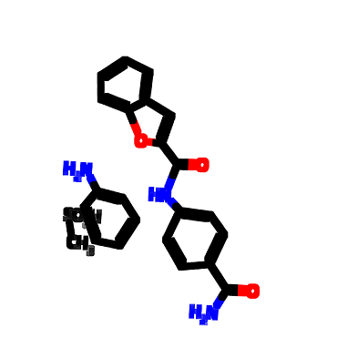 CS(=O)(=O)O.NC(=O)c1ccc(NC(=O)c2cc3ccccc3o2)cc1.Nc1ccccc1